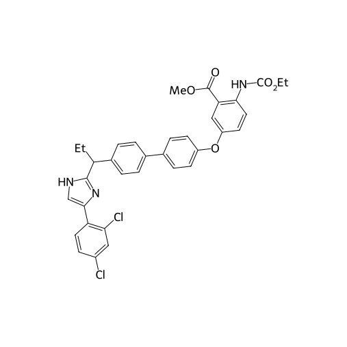 CCOC(=O)Nc1ccc(Oc2ccc(-c3ccc(C(CC)c4nc(-c5ccc(Cl)cc5Cl)c[nH]4)cc3)cc2)cc1C(=O)OC